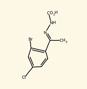 CC(=NNC(=O)O)c1ccc(Cl)cc1Br